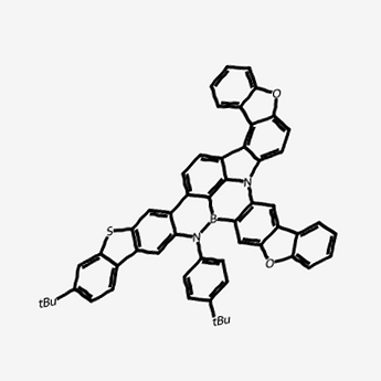 CC(C)(C)c1ccc(N2B3c4cc5oc6ccccc6c5cc4-n4c5ccc6oc7ccccc7c6c5c5ccc(c3c54)-c3cc4sc5cc(C(C)(C)C)ccc5c4cc32)cc1